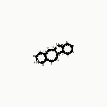 c1ccc2c3ccc4cnccc4cc-3nc2c1